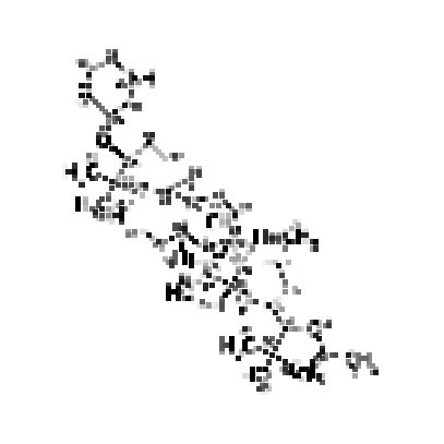 CC(=O)O[C@@H]([C@H]1C[C@@H](C)[C@H]2[C@H](O1)[C@H](O)[C@@]1(C)[C@@H]3CC[C@H]4C(C)(C)[C@@H](O[C@H]5CNCCO5)CC[C@@]45CC35CC[C@]21C)C(C)(C)O